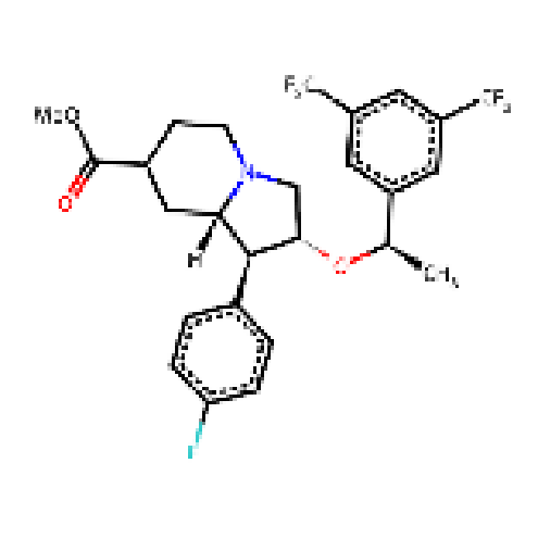 COC(=O)C1CCN2C[C@H](O[C@H](C)c3cc(C(F)(F)F)cc(C(F)(F)F)c3)[C@@H](c3ccc(F)cc3)[C@@H]2C1